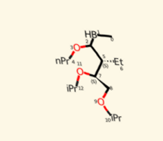 CBC(OCCC)[C@H](CC)[C@@H](COC(C)C)OC(C)C